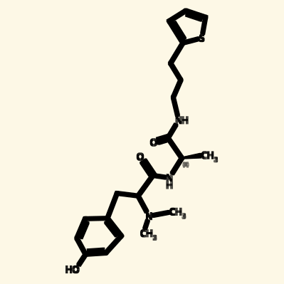 C[C@@H](NC(=O)C(Cc1ccc(O)cc1)N(C)C)C(=O)NCCCc1cccs1